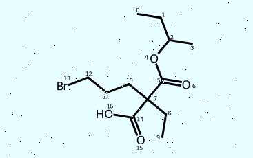 CCC(C)OC(=O)C(CC)(CCCBr)C(=O)O